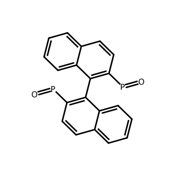 O=Pc1ccc2ccccc2c1-c1c(P=O)ccc2ccccc12